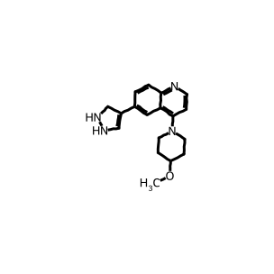 COC1CCN(c2ccnc3ccc(C4=CNNC4)cc23)CC1